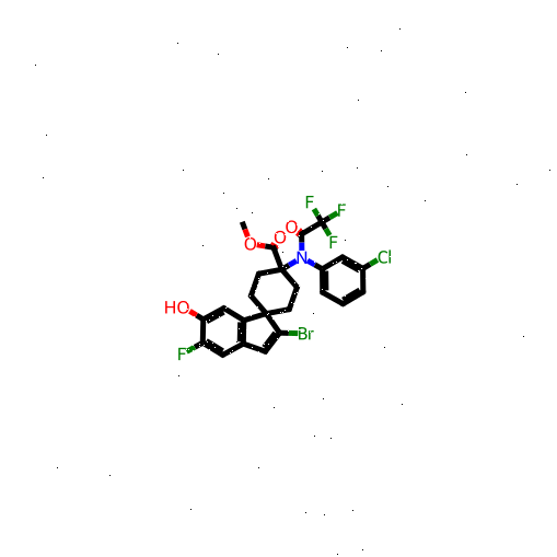 COC(=O)C1(N(C(=O)C(F)(F)F)c2cccc(Cl)c2)CCC2(CC1)C(Br)=Cc1cc(F)c(O)cc12